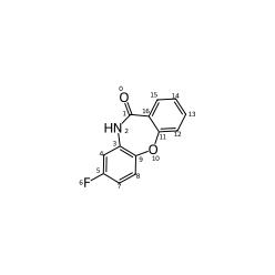 O=C1Nc2cc(F)ccc2Oc2ccccc21